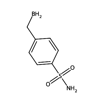 BCc1ccc(S(N)(=O)=O)cc1